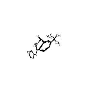 CC(C)(O)c1ccc2c(c1)C(=O)NC2OC1CCOC1